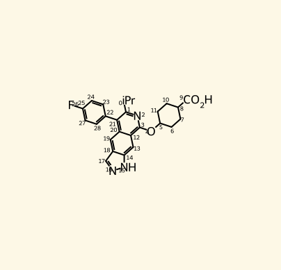 CC(C)c1nc(OC2CCC(C(=O)O)CC2)c2cc3[nH]ncc3cc2c1-c1ccc(F)cc1